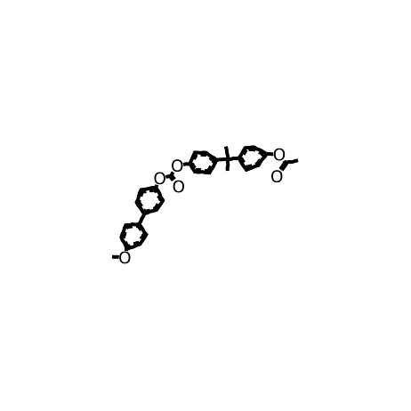 COc1ccc(-c2ccc(OC(=O)Oc3ccc(C(C)(C)c4ccc(OC(C)=O)cc4)cc3)cc2)cc1